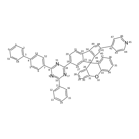 c1ccc(-c2ccc(-c3nc(-c4ccccc4)nc(-c4ccc5c(c4)C4(c6ccccc6Oc6ccccc64)c4cc(-c6ccncc6)ccc4-5)n3)cc2)cc1